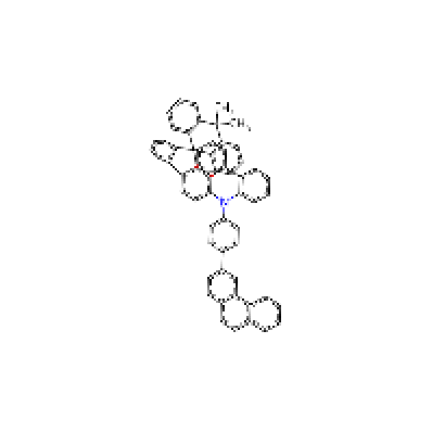 CC1(C)c2ccccc2C2(c3ccccc3-c3ccc(N(c4ccc(-c5ccc6ccc7ccccc7c6c5)cc4)c4ccccc4-c4ccccc4)cc32)c2ccccc21